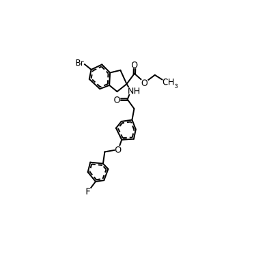 CCOC(=O)C1(NC(=O)Cc2ccc(OCc3ccc(F)cc3)cc2)Cc2ccc(Br)cc2C1